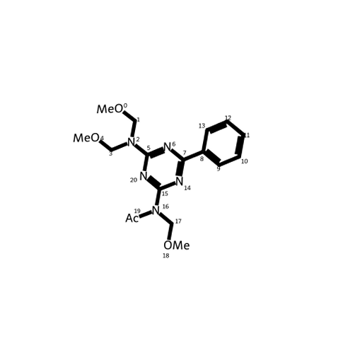 COCN(COC)c1nc(-c2ccccc2)nc(N(COC)C(C)=O)n1